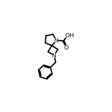 O=C(O)N1CCCC12CN(Cc1ccccc1)C2